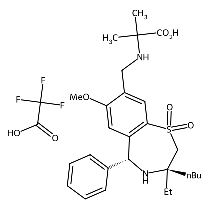 CCCC[C@]1(CC)CS(=O)(=O)c2cc(CNC(C)(C)C(=O)O)c(OC)cc2[C@@H](c2ccccc2)N1.O=C(O)C(F)(F)F